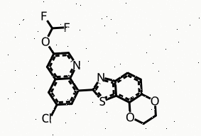 FC(F)Oc1cnc2c(-c3nc4ccc5c(c4s3)OCCO5)cc(Cl)cc2c1